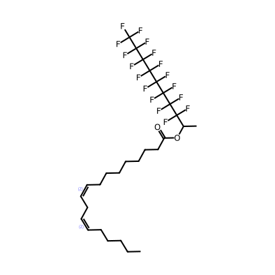 CCCCC/C=C\C/C=C\CCCCCCCC(=O)OC(C)C(F)(F)C(F)(F)C(F)(F)C(F)(F)C(F)(F)C(F)(F)C(F)(F)C(F)(F)F